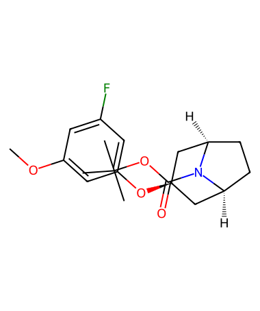 COc1cc(F)cc(O[C@H]2C[C@H]3CC[C@@H](C2)N3C(=O)OC(C)(C)C)c1